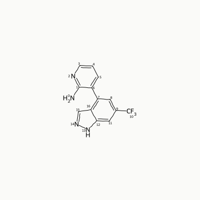 Nc1ncccc1-c1cc(C(F)(F)F)cc2[nH]ncc12